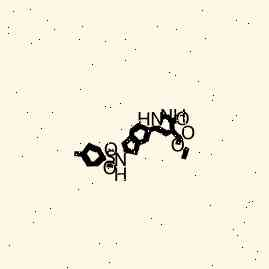 CCOC(=O)C1C=C(c2ccc3c(c2)CC(NS(=O)(=O)c2ccc(C)cc2)C3)NNC1=O